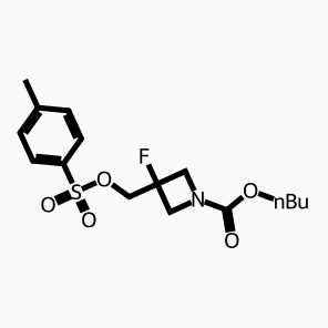 CCCCOC(=O)N1CC(F)(COS(=O)(=O)c2ccc(C)cc2)C1